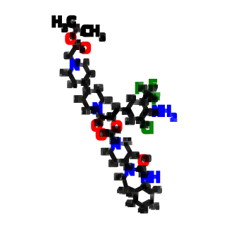 CC(C)OC(=O)CN1CCC(C2CCN(C(=O)[C@@H](Cc3cc(Cl)c(N)c(C(F)(F)F)c3)OC(=O)N3CCC(N4CCc5ccccc5NC4=O)CC3)CC2)CC1